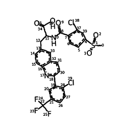 CS(=O)(=O)c1ccc(C(=O)NC(Cc2ccc3nc(-c4cc(C(F)(F)F)ccc4Cl)ccc3c2)C(=O)O)c(Cl)c1